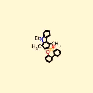 CCn1c2ccccc2c2c(C)c(P3(=O)Oc4ccccc4-c4ccccc43)cc(C)c21